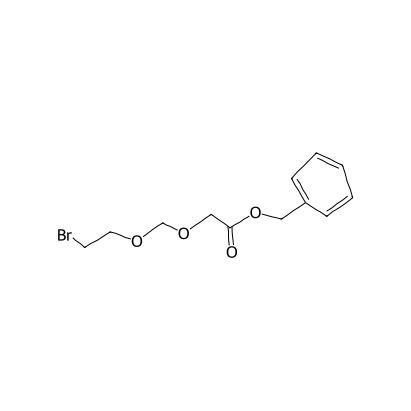 O=C(COCOCCBr)OCc1ccccc1